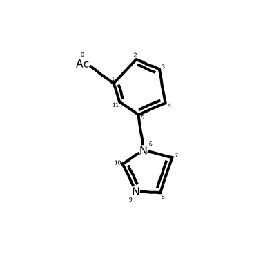 CC(=O)c1cccc(-n2ccnc2)c1